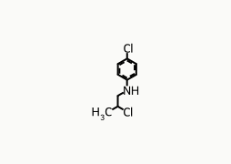 CC(Cl)CNc1ccc(Cl)cc1